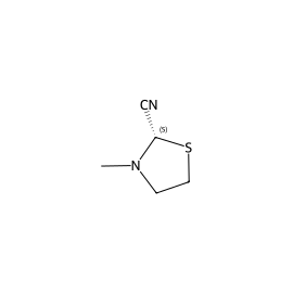 CN1CCS[C@H]1C#N